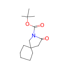 CC(C)(C)OC(=O)N1CC2(CCCCC2)CC1=O